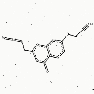 C#CCOc1ccc2c(=O)cc(CN=[N+]=[N-])oc2c1